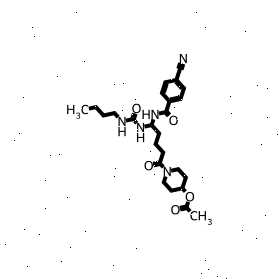 CCCCNC(=O)NC(CCCC(=O)N1CCC(OC(C)=O)CC1)NC(=O)c1ccc(C#N)cc1